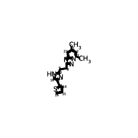 Cc1cc(C)n2nc(CCc3nc(-c4cccs4)c[nH]3)nc2c1